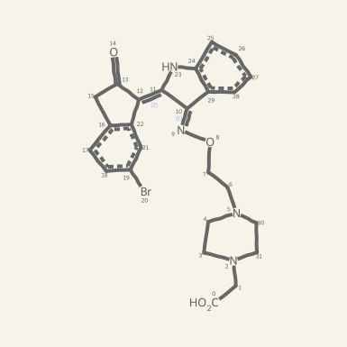 O=C(O)CN1CCN(CCO/N=C2/C(=C3/C(=O)Cc4ccc(Br)cc43)Nc3ccccc32)CC1